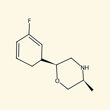 C[C@H]1CO[C@@H](C2C=C(F)C=CC2)CN1